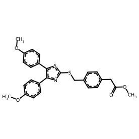 COC(=O)Cc1ccc(CSc2nc(-c3ccc(OC)cc3)c(-c3ccc(OC)cc3)s2)cc1